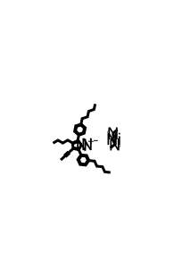 CC#CC1=C(c2cccc(CCCCC)c2)[N+](=[N-])C(c2ccc(CCCCC)cc2)=C1CCCC.C[N](C)[Ni][N](C)C